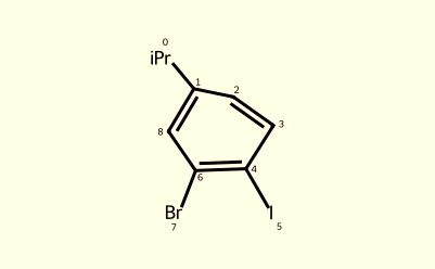 [CH2]C(C)c1ccc(I)c(Br)c1